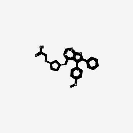 COc1ccc(-c2c(-c3ccccc3)oc3ncnc(C[C@@H]4CC[C@@H](OCC(=O)O)C4)c23)cc1